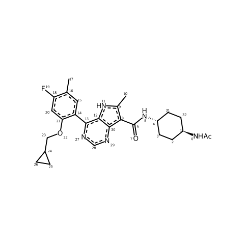 CC(=O)N[C@H]1CC[C@H](NC(=O)c2c(C)[nH]c3c(-c4cc(C)c(F)cc4OCC4CC4)ncnc23)CC1